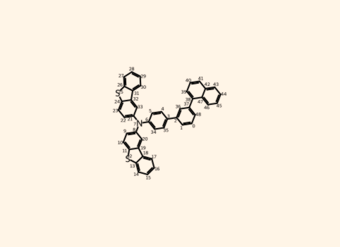 c1cc(-c2ccc(N(c3ccc4sc5ccccc5c4c3)c3ccc4sc5ccccc5c4c3)cc2)cc(-c2cccc3ccccc23)c1